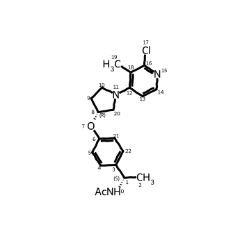 CC(=O)N[C@@H](C)c1ccc(O[C@@H]2CCN(c3ccnc(Cl)c3C)C2)cc1